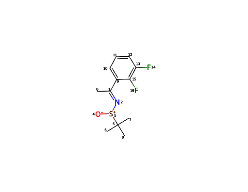 CC(=N[S+]([O-])C(C)(C)C)c1cccc(F)c1F